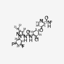 CNC(=O)c1cc(Oc2ccc(NC(=O)Nc3c(C)c(C(C)C)nn3-c3cc(F)cc(F)c3)c(Cl)c2)ccn1